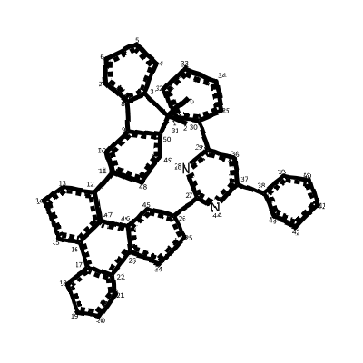 CC1(C)c2ccccc2-c2cc(-c3cccc4c5ccccc5c5ccc(-c6nc(-c7ccccc7)cc(-c7ccccc7)n6)cc5c34)ccc21